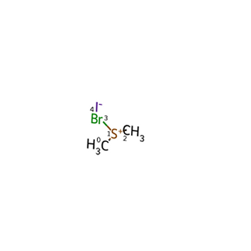 C[S+](C)Br.[I-]